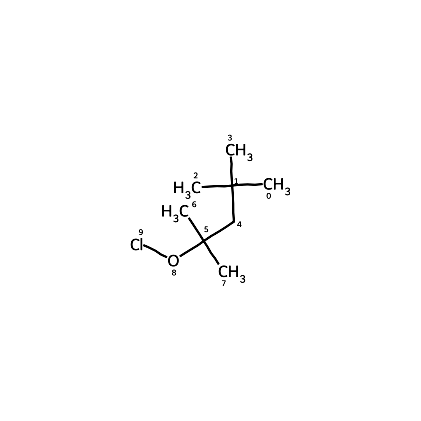 CC(C)(C)CC(C)(C)OCl